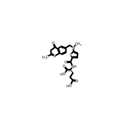 CC1=Nc2ccc(CN(C)c3ccc(C(=O)N[C@@H](CCC(=O)O)C(=O)O)s3)cc2C(=O)C1